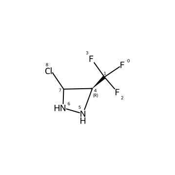 FC(F)(F)[C@H]1NNC1Cl